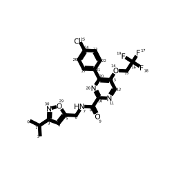 CC(C)c1cc(CNC(=O)c2ncc(OCC(F)(F)F)c(-c3ccc(Cl)cc3)n2)on1